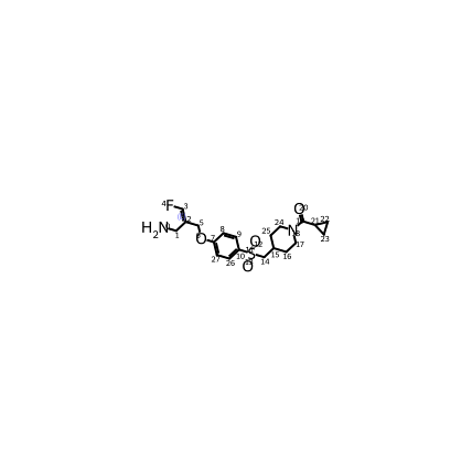 NC/C(=C\F)COc1ccc(S(=O)(=O)CC2CCN(C(=O)C3CC3)CC2)cc1